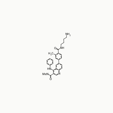 CNC(=O)c1cnc2ccc(-c3ccc(C(=O)NCCCCN)c(C)c3)cc2c1Nc1ccccc1